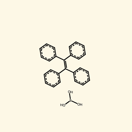 OB(O)O.c1ccc(C(=C(c2ccccc2)c2ccccc2)c2ccccc2)cc1